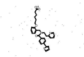 O=C(O)CCCCCOc1ccccc1CN(CCc1ccccn1)C(=O)c1ccc(-c2cccs2)cc1